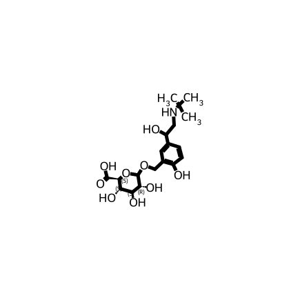 CC(C)(C)NCC(O)c1ccc(O)c(COC2O[C@H](C(=O)O)[C@@H](O)[C@H](O)[C@H]2O)c1